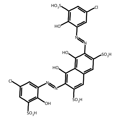 O=S(=O)(O)c1cc(Cl)cc(/N=N/c2c(S(=O)(=O)O)cc3cc(S(=O)(=O)O)c(/N=N/c4cc(Cl)cc(S(=O)(=O)O)c4O)c(O)c3c2O)c1O